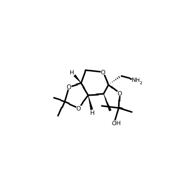 C[C@H]1[C@@H]2OC(C)(C)O[C@@H]2CO[C@@]1(CN)OC(C)(C)O